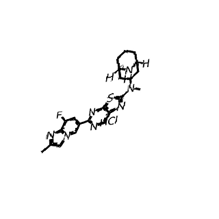 Cc1cn2cc(-c3ncc4nc(N(C)C5C[C@H]6CCC[C@@H](C5)N6)sc4n3)cc(F)c2n1.Cl